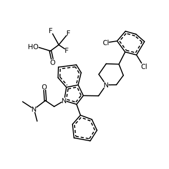 CN(C)C(=O)Cn1c(-c2ccccc2)c(CN2CCC(c3c(Cl)cccc3Cl)CC2)c2ccccc21.O=C(O)C(F)(F)F